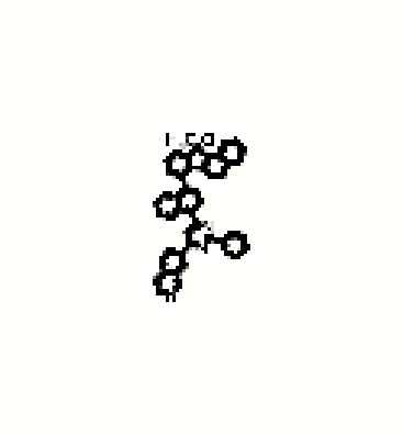 CC1(C)c2cccc(-c3ccc(-c4cc(-c5ccc6ccncc6c5)nc(-c5ccccc5)n4)c4ccccc34)c2-c2ccc3ccccc3c21